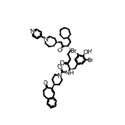 O=C1CCc2ccccc2C=C1C1CCN(C(=O)N[C@H](Cc2cc(Br)c(O)c(Br)c2)C(=O)CCC[C@@H](CC2CCCCCC2)C(=O)CC2CCCN(c3ccncc3)CC2)CC1